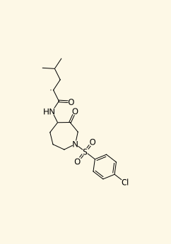 CC(C)C[CH]C(=O)NC1CCCN(S(=O)(=O)c2ccc(Cl)cc2)CC1=O